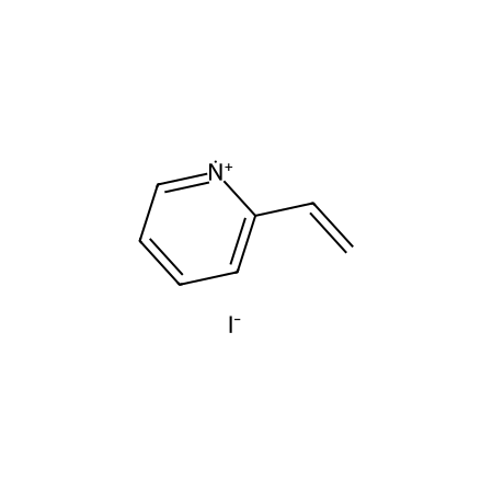 C=CC1=CC=CC=[N+]1.[I-]